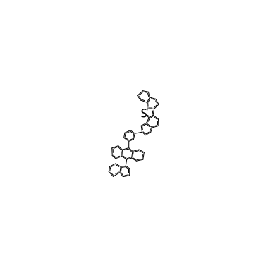 c1cc(-c2ccc3ccc4c5ccc6ccccc6c5sc4c3c2)cc(-c2c3ccccc3c(-c3cccc4ccccc34)c3ccccc23)c1